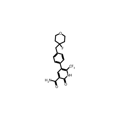 NC(=O)c1cc(-c2ccc(CC3(F)CCOCC3)cc2)c(C(F)(F)F)[nH]c1=O